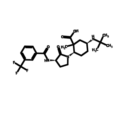 CC(C)(C)N[C@@H]1CC[C@H](N2CC[C@H](NC(=O)c3cccc(C(F)(F)F)c3)C2=O)C(C)(C(=O)O)C1